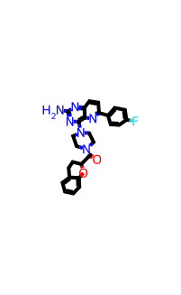 Nc1nc(N2CCN(C(=O)C3CCc4ccccc4O3)CC2)c2nc(-c3ccc(F)cc3)ccc2n1